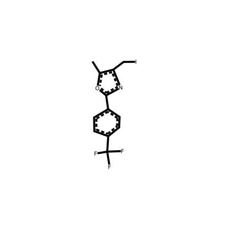 Cc1oc(-c2ccc(C(F)(F)F)cc2)nc1CI